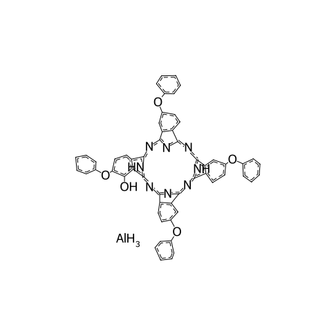 Oc1c(Oc2ccccc2)ccc2c3nc4nc(nc5[nH]c(nc6nc(nc([nH]3)c12)-c1ccc(Oc2ccccc2)cc1-6)c1ccc(Oc2ccccc2)cc51)-c1ccc(Oc2ccccc2)cc1-4.[AlH3]